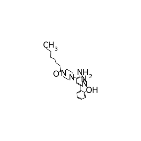 CCCCCCCC(=O)N1CCN(c2cc(-c3ccccc3O)nnc2N)CC1